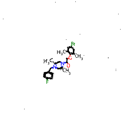 Cc1cc(Br)cc(C)c1OCC(=O)N1C[C@@H](C)N(Cc2ccc(F)cc2)C[C@@H]1C